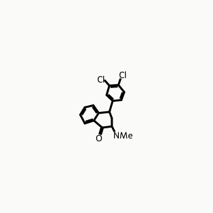 CNC1CC(c2ccc(Cl)c(Cl)c2)c2ccccc2C1=O